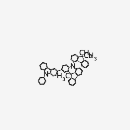 CC1(C)c2ccccc2-c2c(N3c4ccc(-c5ccc6c(c5)c5ccccc5n6-c5ccccc5)cc4C4(C)c5ccccc5-c5cccc3c54)cccc21